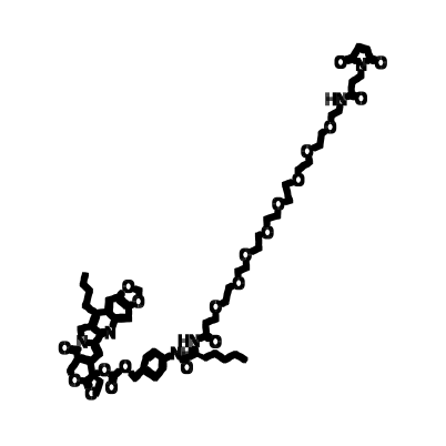 CCCCC[C@H](NC(=O)CCOCCOCCOCCOCCOCCOCCOCCOCCNC(=O)CCN1C(=O)C=CC1=O)C(=O)Nc1ccc(COC(=O)O[C@]2(CC)C(=O)OCc3c2cc2n(c3=O)Cc3c-2nc2cc4c(cc2c3CCCC)OCO4)cc1